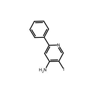 Nc1cc(-c2ccccc2)ncc1I